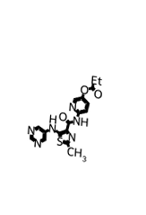 CCC(=O)Oc1ccc(NC(=O)c2nc(C)sc2Nc2cncnc2)nc1